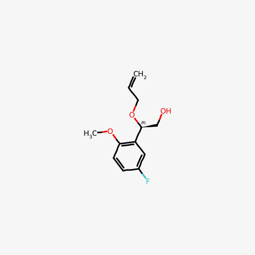 C=CCO[C@@H](CO)c1cc(F)ccc1OC